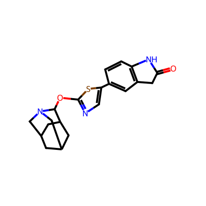 O=C1Cc2cc(-c3cnc(OC4C5CC6CC(C5)CN4C6)s3)ccc2N1